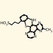 Cc1cnc2c3c(c4nccnc4c2n1)Sc1c(CCCS(=O)(=O)O)cccc1N3